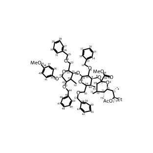 CC[C@@H](OC(C)=O)[C@@H](C)[C@@H]1O[C@@](O[C@@H]2C(OCc3ccccc3)[C@H](O[C@@H]3C(COCc4ccccc4)O[C@@H](Oc4ccc(OC)cc4)C(OCc4ccccc4)C3C)OC(COCc3ccccc3)[C@@H]2C)(C(=O)OC)CC(C)[C@H]1C